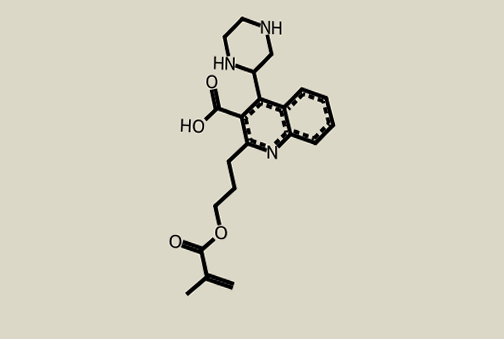 C=C(C)C(=O)OCCCc1nc2ccccc2c(C2CNCCN2)c1C(=O)O